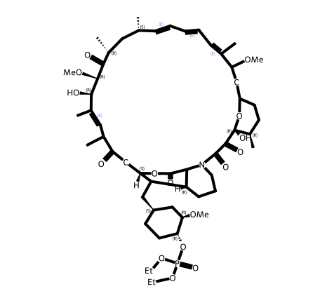 CCOP(=O)(OCC)O[C@@H]1CC[C@@H](CC2[C@H]3CCCN4C(=O)C(=O)[C@]5(O)OC(CC[C@H]5C)CC(OC)/C(C)=C/C=C/C=C/[C@@H](C)C[C@@H](C)C(=O)[C@H](OC)[C@H](O)/C(C)=C/C(C)C(=O)C[C@@H]2OC(=O)C34)C[C@H]1OC